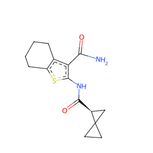 NC(=O)c1c(NC(=O)[C@H]2CC23CC3)sc2c1CCCC2